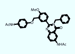 COc1ccc(-c2nc3ccc(NC(C)=O)cc3c(=O)n2Cc2ccccc2)cc1COc1ccc(NC(C)=O)cc1